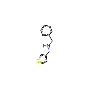 c1ccc(CNCc2ccsc2)cc1